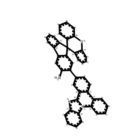 Nc1cc2c(cc1-c1ccc3c4ccccc4n4c5ccccc5nc4c3c1)C1(c3ccccc3Oc3ccccc31)c1ccccc1-2